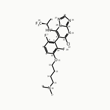 C[C@@H](Nc1c(-c2c(F)ccc(OCCCCN(C)C)c2F)c(Cl)nc2ncnn12)C(F)(F)F